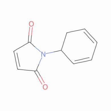 O=C1C=CC(=O)N1C1C=CC=CC1